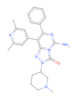 Cc1cc(-c2c(-c3ccccc3)nc(N)n3c(=O)n(C4CCCN(C)C4)nc23)cc(C)n1